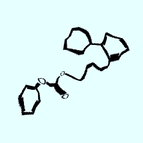 O=C(OCCCc1ccccc1C1CCCCC1)Oc1ccccc1